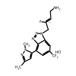 Cc1cc(-c2cc(C(F)(F)F)cc3c2nnn3C/C(F)=C/CN)n(C)n1.Cl